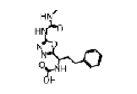 CNC(=O)Nc1nnc(C(CCc2ccccc2)NC(=O)O)o1